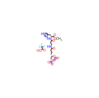 COC(=O)[C@H](Cc1c[nH]cn1)NC(=O)CCNC(=O)CCC[C@@H](CO[N+](=O)[O-])O[N+](=O)[O-].O=C(O)C(F)(F)F